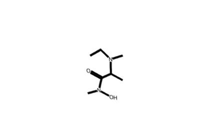 CCN(C)C(C)C(=O)N(C)O